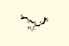 CC(CSCC1CS1)SCCSCC1CS1